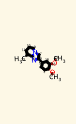 COc1ccc(-c2cn3cccc(C)c3n2)cc1OC